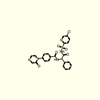 O=C(NC(C(=O)NS(=O)(=O)c1ccc(Cl)cn1)c1ccccc1)c1ccc(-n2ccncc2=O)cc1